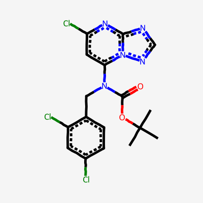 CC(C)(C)OC(=O)N(Cc1ccc(Cl)cc1Cl)c1cc(Cl)nc2ncnn12